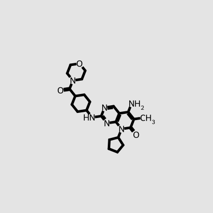 Cc1c(N)c2cnc(NC3CCC(C(=O)N4CCOCC4)CC3)nc2n(C2CCCC2)c1=O